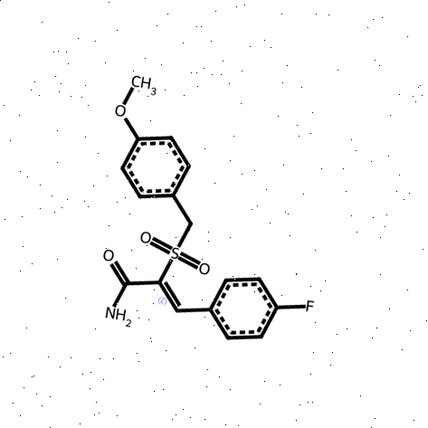 COc1ccc(CS(=O)(=O)/C(=C\c2ccc(F)cc2)C(N)=O)cc1